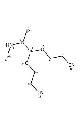 CC(C)NN(C(C)C)P(OCCC#N)OCCC#N